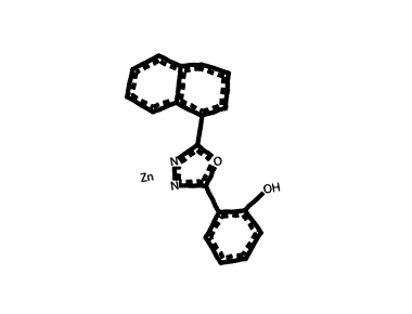 Oc1ccccc1-c1nnc(-c2cccc3ccccc23)o1.[Zn]